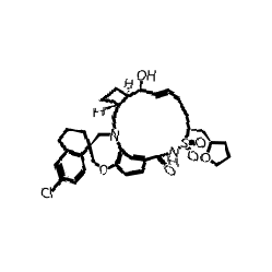 O=C1NS(=O)(=O)[C@H](C[C@H]2CCCO2)CC/C=C/[C@H](O)[C@@H]2CC[C@H]2CN2C[C@@]3(CCCc4cc(Cl)ccc43)COc3ccc1cc32